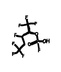 O=P(O)(F)OC(C(F)CC(F)(F)F)C(F)(F)F